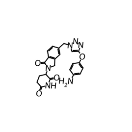 Nc1ccc(Oc2cn(Cc3ccc4c(c3)CN(C3CCC(=O)NC3=O)C4=O)nn2)cc1